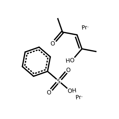 CC(=O)/C=C(/C)O.O=S(=O)(O)c1ccccc1.[Pr].[Pr]